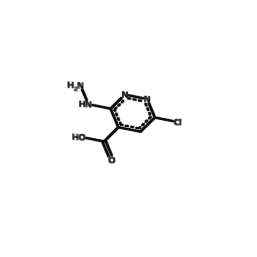 NNc1nnc(Cl)cc1C(=O)O